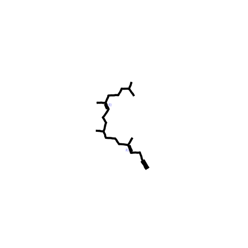 C#CC/C=C(\C)CCCC(C)CC/C=C(\C)CCCC(C)C